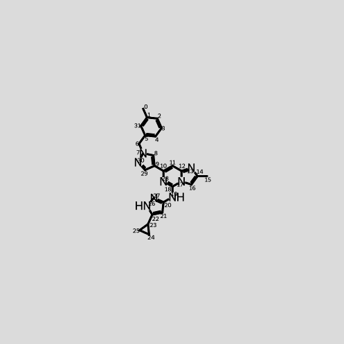 Cc1cccc(Cn2cc(-c3cc4nc(C)cn4c(Nc4cc(C5CC5)[nH]n4)n3)cn2)c1